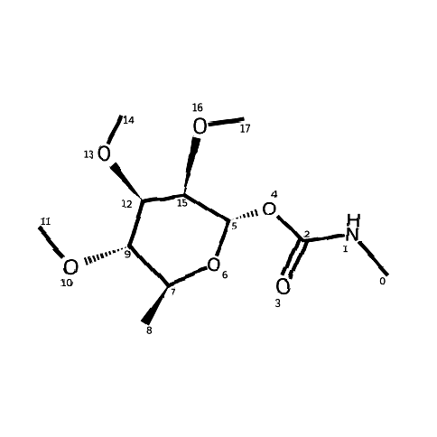 CNC(=O)O[C@@H]1O[C@@H](C)[C@H](OC)[C@@H](OC)[C@H]1OC